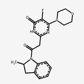 CC1Cc2ccccc2N1C(=O)Cc1nc(N2CCOCC2)c(F)c(=O)[nH]1